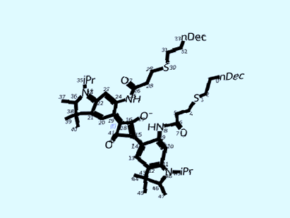 CCCCCCCCCCCCSCCC(=O)Nc1cc2c(cc1C1=C([O-])/C(=c3/cc4c(cc3NC(=O)CCSCCCCCCCCCCCC)=[N+](C(C)C)C(C)C4(C)C)C1=O)C(C)(C)C(C)N2C(C)C